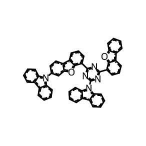 c1ccc2c(c1)oc1c(-c3nc(-c4cccc5c4oc4cc(-n6c7ccccc7c7ccccc76)ccc45)nc(-n4c5ccccc5c5ccccc54)n3)cccc12